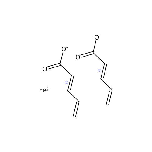 C=C/C=C/C(=O)[O-].C=C/C=C/C(=O)[O-].[Fe+2]